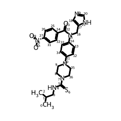 CC(C)CNC(=S)N1CCN(c2ccc(N(Cc3cnc[nH]3)C(=O)c3ccc([N+](=O)[O-])cc3)cc2)CC1